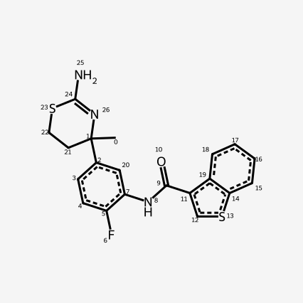 CC1(c2ccc(F)c(NC(=O)c3csc4ccccc34)c2)CCSC(N)=N1